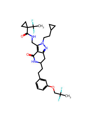 CC(F)(F)COc1cccc(CCC2Cc3nn(CCC4CC4)c(CNC(=O)C4(C(C)(F)F)CC4)c3C(=O)N2)c1